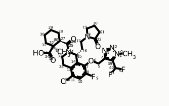 Cn1nnc(COc2c(F)cc(Cl)c3c2[C@@H](CCN2CCCC2=O)N(C(=O)[C@@H]2CCCC[C@]2(C)C(=O)O)CC3)c1C(F)F